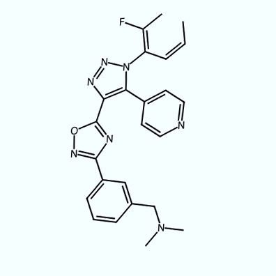 C/C=C\C(=C(/C)F)n1nnc(-c2nc(-c3cccc(CN(C)C)c3)no2)c1-c1ccncc1